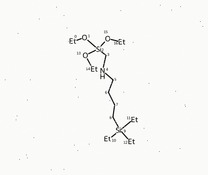 CCO[Si](CNCCCC[Si](CC)(CC)CC)(OCC)OCC